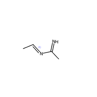 C/C=N/C(C)=N